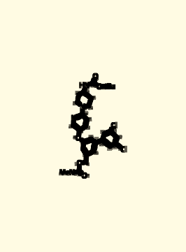 CNC(=O)OCc1cc(Oc2ccc(N3CCC(NC(=O)OC(C)(C)C)CC3)nc2)cc(-c2cc(Cl)cc(Cl)c2)c1